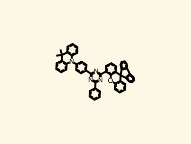 CC1(C)c2ccccc2N(c2ccc(-c3nc(-c4ccccc4)nc(-c4cccc5c4Oc4ccccc4C54c5ccccc5-c5ccccc54)n3)cc2)c2ccccc21